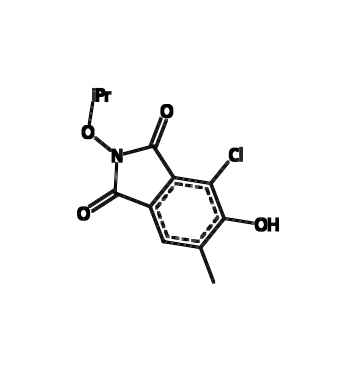 Cc1cc2c(c(Cl)c1O)C(=O)N(OC(C)C)C2=O